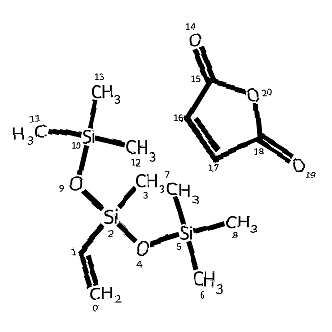 C=C[Si](C)(O[Si](C)(C)C)O[Si](C)(C)C.O=C1C=CC(=O)O1